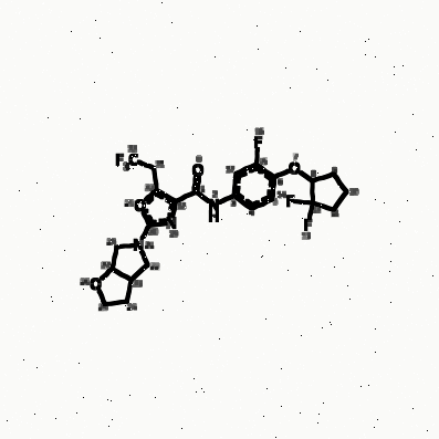 O=C(Nc1ccc(OC2CCCC2(F)F)c(F)c1)c1nc(N2CC3CCOC3C2)oc1CC(F)(F)F